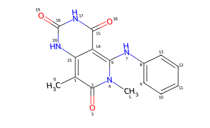 Cc1c(=O)n(C)c(Nc2ccccc2)c2c(=O)[nH]c(=O)[nH]c12